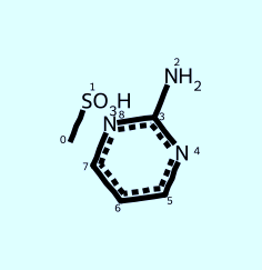 CS(=O)(=O)O.Nc1ncccn1